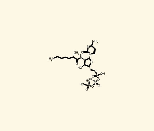 NCCCC[C@H](N)C(=O)N[C@@H]1[C@H](O)[C@@H](COP(=O)(O)OP(=O)(O)OP(=O)(O)O)O[C@H]1n1ccc(N)nc1=O